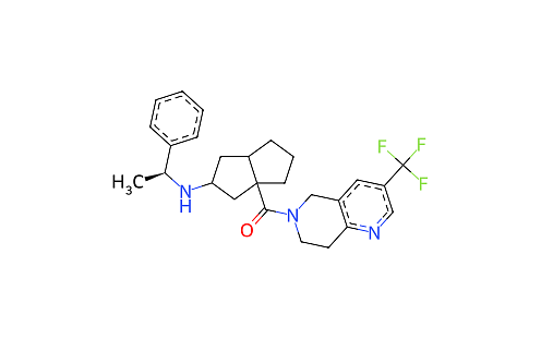 C[C@H](NC1CC2CCCC2(C(=O)N2CCc3ncc(C(F)(F)F)cc3C2)C1)c1ccccc1